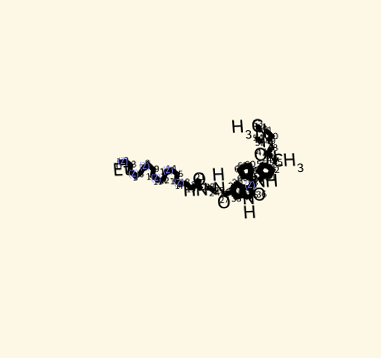 CC/C=C\C/C=C\C/C=C\C/C=C\C/C=C\C/C=C\CCC(=O)NCCNC(=O)c1ccc2c(c1)NC(=O)/C2=C(\Nc1ccc(N(C)C(=O)CN2CCN(C)CC2)cc1)c1ccccc1